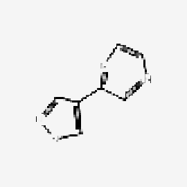 C1=N[N]C=C1c1cnccn1